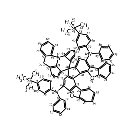 C[Si](C)(C)c1ccc(N(c2ccccc2)c2cc3c(c4c2oc2ccccc24)-c2c(cc(N(c4ccccc4)c4ccc([Si](C)(C)C)cc4)c4c2oc2ccccc24)C32c3ccccc3N3c4ccccc4Sc4cccc2c43)cc1